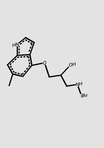 CCC(C)NCC(O)COc1cc(C)cc2[nH]ccc12